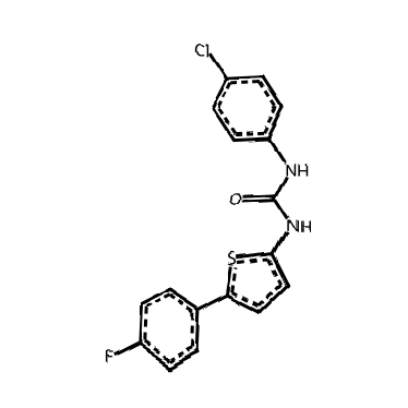 O=C(Nc1ccc(Cl)cc1)Nc1ccc(-c2ccc(F)cc2)s1